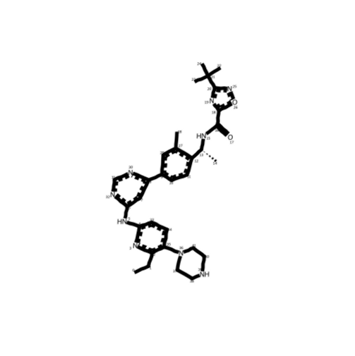 CCc1nc(Nc2cc(-c3ccc([C@@H](C)NC(=O)c4nc(C(C)(C)C)no4)c(C)c3)ncn2)ccc1N1CCNCC1